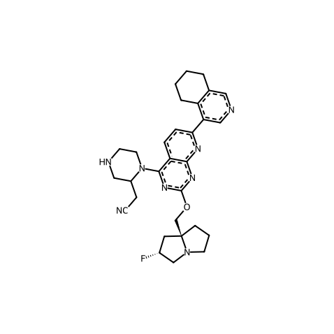 N#CCC1CNCCN1c1nc(OC[C@@]23CCCN2C[C@H](F)C3)nc2nc(-c3cncc4c3CCCC4)ccc12